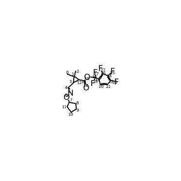 CC1(C)C(C=NOC2CCCC2)C1C(=O)OC(F)(F)c1ccc(F)c(F)c1F